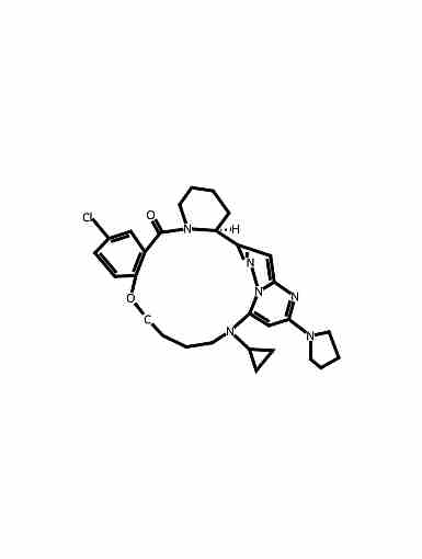 O=C1c2cc(Cl)ccc2OCCCCN(C2CC2)c2cc(N3CCCC3)nc3cc(nn23)[C@@H]2CCCCN12